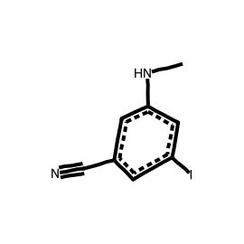 CNc1cc(I)cc(C#N)c1